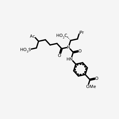 COC(=O)c1ccc(NC(=O)N(C(=O)CCCC(CS(=O)(=O)O)C(C)=O)[C@@H](CC(C)C)C(=O)O)cc1